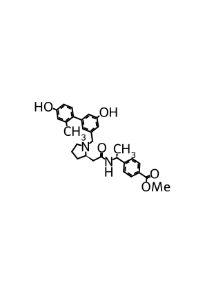 COC(=O)c1ccc([C@H](C)NC(=O)C[C@H]2CCCN2Cc2cc(O)cc(-c3ccc(O)cc3C)c2)cc1